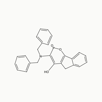 O=c1oc2c(c(O)c1N(Cc1ccccc1)Cc1ccccc1)Cc1ccccc1-2